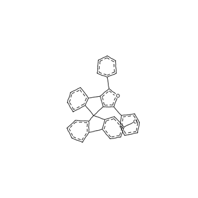 Clc1ccc2c(c1)C1(c3ccccc3-2)c2ccccc2-c2c(-c3ccccc3)oc(-c3ccccc3)c21